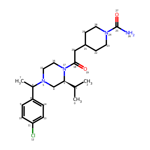 CC(C)[C@H]1CN(C(C)c2ccc(Cl)cc2)CCN1C(=O)CC1CCN(C(N)=O)CC1